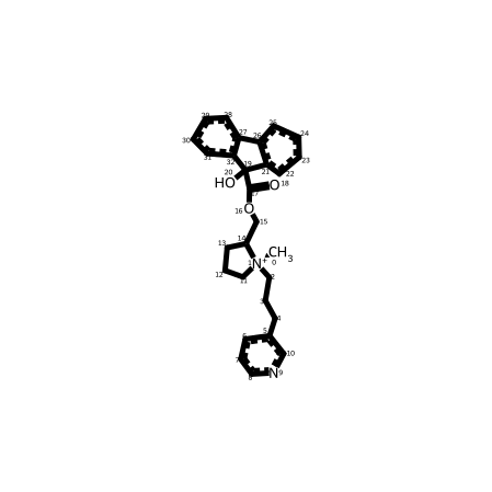 C[N@@+]1(CCCc2cccnc2)CCCC1COC(=O)C1(O)c2ccccc2-c2ccccc21